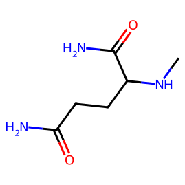 CNC(CCC(N)=O)C(N)=O